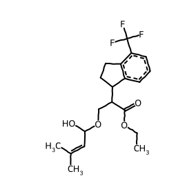 CCOC(=O)C(COC(O)C=C(C)C)C1CCc2c1cccc2C(F)(F)F